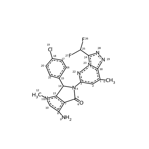 Cc1cc(N2C(=O)c3c(N)cn(C)c3C2c2ccc(Cl)cc2)nn2c(C(F)F)nnc12